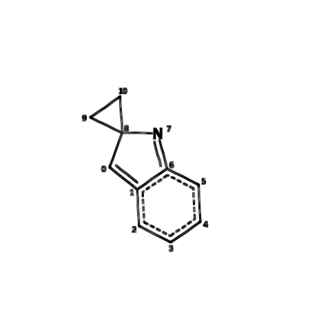 C1=c2ccccc2=NC12CC2